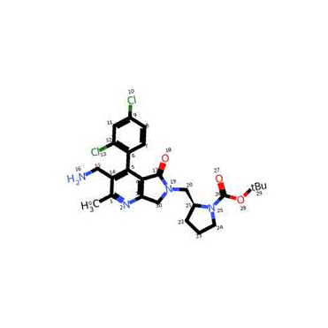 Cc1nc2c(c(-c3ccc(Cl)cc3Cl)c1CN)C(=O)N(C[C@@H]1CCCN1C(=O)OC(C)(C)C)C2